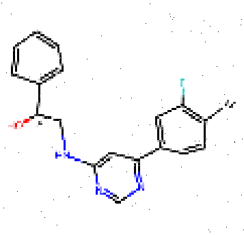 CC(=O)c1ccc(-c2cc(NC[C@@H](O)c3ccccc3)ncn2)cc1F